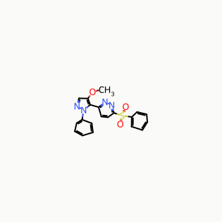 COc1cnn(-c2ccccc2)c1-c1ccc(S(=O)(=O)c2ccccc2)nn1